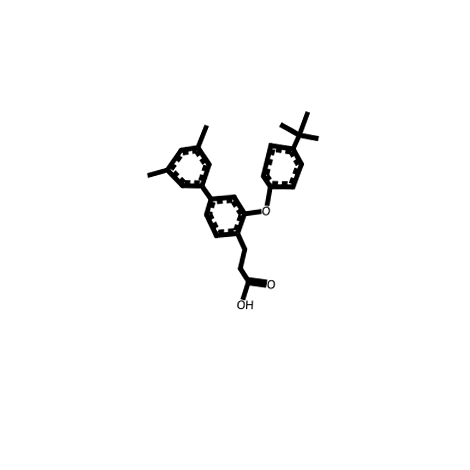 Cc1cc(C)cc(-c2ccc(CCC(=O)O)c(Oc3ccc(C(C)(C)C)cc3)c2)c1